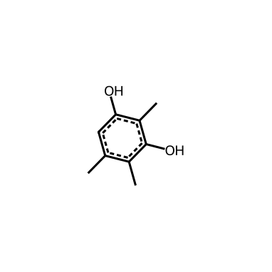 Cc1cc(O)c(C)c(O)c1C